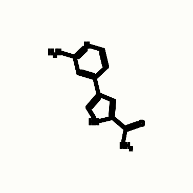 NC(=O)c1cc(-c2ccnc(N)c2)c[nH]1